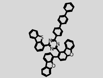 C1=CC2Oc3ccccc3C2C(c2nc(-c3ccc(-c4ccc(-c5ccccc5)cc4)cc3)nc(-c3cccc4c3sc3ccccc34)n2)=C1c1cccc2c1oc1ccccc12